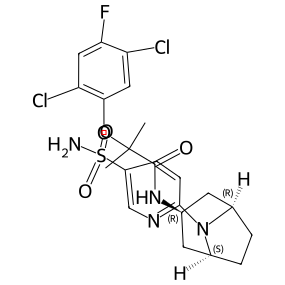 CC(C)(Oc1cc(Cl)c(F)cc1Cl)C(=O)N[C@H]1C[C@H]2CC[C@@H](C1)N2c1ccc(S(N)(=O)=O)cn1